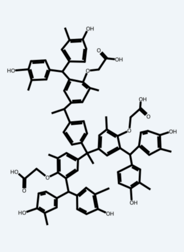 Cc1cc(C(c2ccc(O)c(C)c2)c2cc(C(C)c3ccc(C(C)(c4cc(C)c(OCC(=O)O)c(C(c5ccc(O)c(C)c5)c5ccc(O)c(C)c5)c4)c4cc(C)c(OCC(=O)O)c(C(c5ccc(O)c(C)c5)c5ccc(O)c(C)c5)c4)cc3)cc(C)c2OCC(=O)O)ccc1O